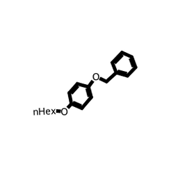 CCCCCCOc1ccc(OCc2ccccc2)cc1